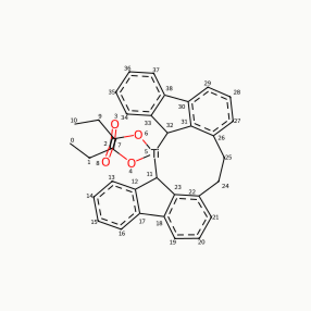 CCC(=O)[O][Ti]1([O]C(=O)CC)[CH]2c3ccccc3-c3cccc(c32)CCc2cccc3c2[CH]1c1ccccc1-3